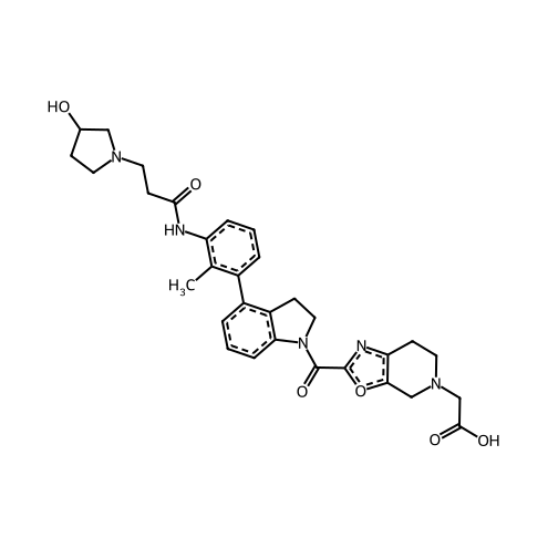 Cc1c(NC(=O)CCN2CCC(O)C2)cccc1-c1cccc2c1CCN2C(=O)c1nc2c(o1)CN(CC(=O)O)CC2